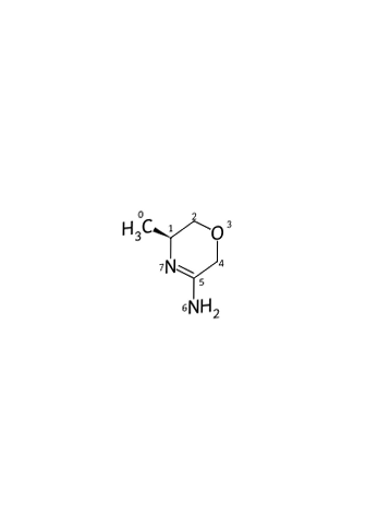 C[C@H]1COCC(N)=N1